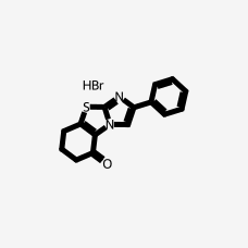 Br.O=C1CCCc2sc3nc(-c4ccccc4)cn3c21